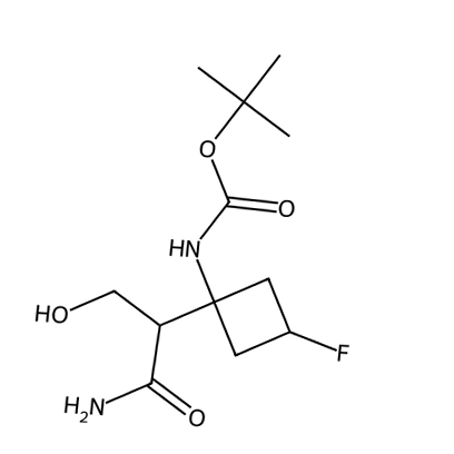 CC(C)(C)OC(=O)NC1(C(CO)C(N)=O)CC(F)C1